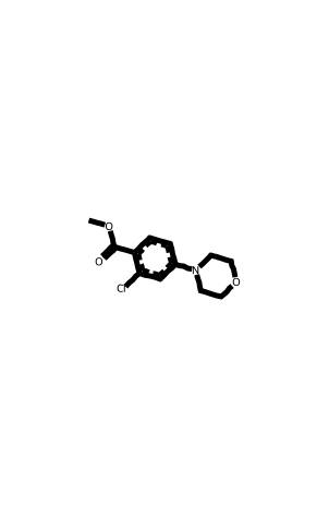 COC(=O)c1ccc(N2CCOCC2)cc1Cl